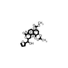 COC(=O)[C@@H]1C[C@H](OC(C)=O)C(=O)[C@H]2[C@@]1(C)CC[C@H]1C(=O)OC(C(O)c3ccco3)C[C@]21C